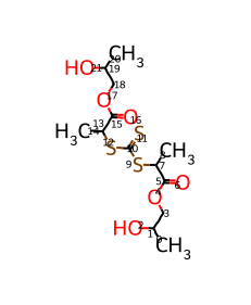 CC(O)COC(=O)C(C)SC(=S)SC(C)C(=O)OCC(C)O